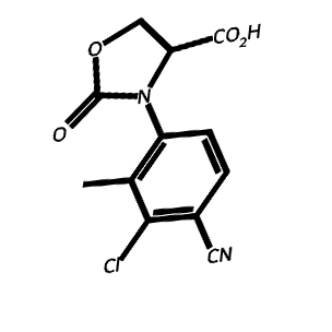 Cc1c(N2C(=O)OCC2C(=O)O)ccc(C#N)c1Cl